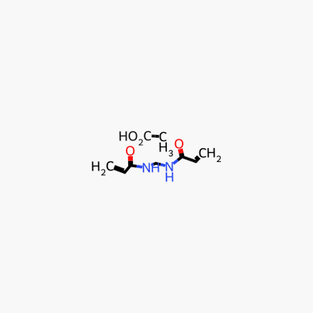 C=CC(=O)NCNC(=O)C=C.CC(=O)O